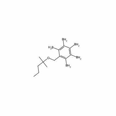 Bc1c(B)c(B)c(COC(C)(C)CCC)c(B)c1B